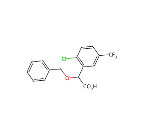 O=C(O)C(OCc1ccccc1)c1cc(C(F)(F)F)ccc1Cl